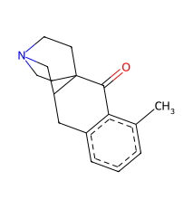 Cc1cccc2c1C(=O)C13CCN(CC1)CC3C2